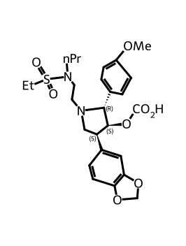 CCCN(CCN1C[C@H](c2ccc3c(c2)OCO3)[C@H](OC(=O)O)[C@H]1c1ccc(OC)cc1)S(=O)(=O)CC